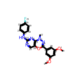 COc1cc(OC)cc(C2=NN(C)c3nc(Nc4ccc(F)cc4)ncc3O2)c1